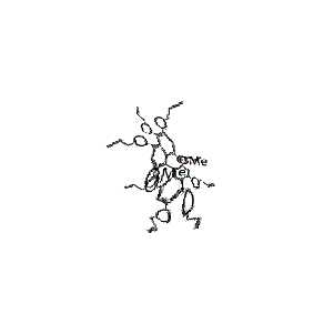 C=CCOc1cc(OCC=C)c2c(-c3c(OC)cc(OCC=C)c4c(OCC=C)c(OCC=C)cc(OCC=C)c34)c(OC)cc(OCC=C)c2c1OCC=C